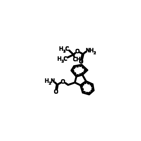 CC(C)(C)OC(N)=O.NC(=O)OCC1c2ccccc2-c2ccccc21